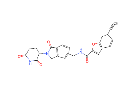 C#CC1C=Cc2cc(C(=O)NCc3ccc4c(c3)CN(C3CCC(=O)NC3=O)C4=O)oc2C1